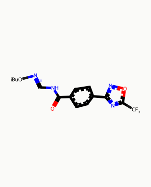 CC(C)CO/N=C/NC(=O)c1ccc(-c2noc(C(F)(F)F)n2)cc1